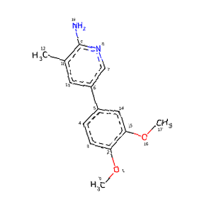 COc1ccc(-c2cnc(N)c(C)c2)cc1OC